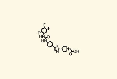 O=C(O)CN1CCC(c2ncc(-c3ccc(NC(=O)Nc4cc(F)c(F)cc4F)cc3)s2)CC1